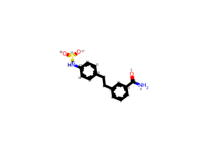 NC(=O)c1cccc(CCc2ccc(N[SH](=O)=O)cc2)c1